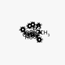 CN(C)CC[C@H](Oc1cccc2ccccc12)c1cccs1.O=C(OC(=O)C(O)C(O)C(=O)OC(=O)c1ccccc1)c1ccccc1